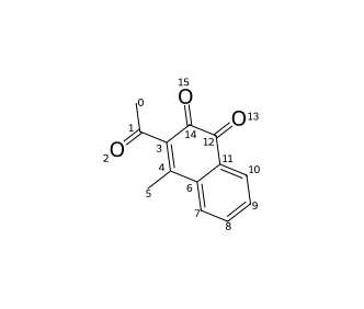 CC(=O)C1=C(C)c2ccccc2C(=O)C1=O